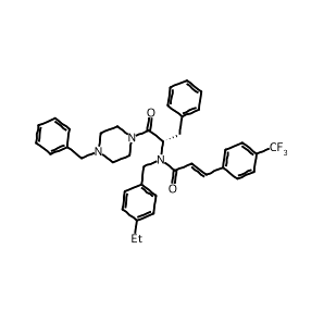 CCc1ccc(CN(C(=O)C=Cc2ccc(C(F)(F)F)cc2)[C@@H](Cc2ccccc2)C(=O)N2CCN(Cc3ccccc3)CC2)cc1